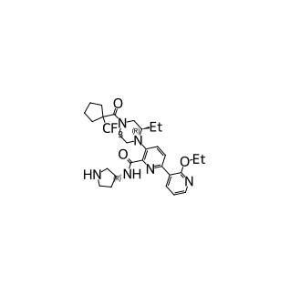 CCOc1ncccc1-c1ccc(N2CCN(C(=O)C3(C(F)(F)F)CCCC3)C[C@H]2CC)c(C(=O)N[C@@H]2CCNC2)n1